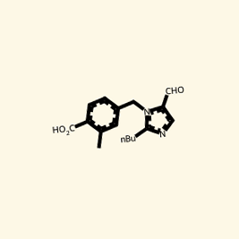 CCCCc1ncc(C=O)n1Cc1ccc(C(=O)O)c(C)c1